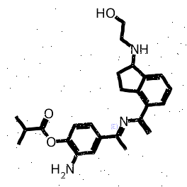 C=C(/N=C(\C)c1ccc(OC(=O)C(C)C)c(N)c1)c1cccc2c1CCC2NCCO